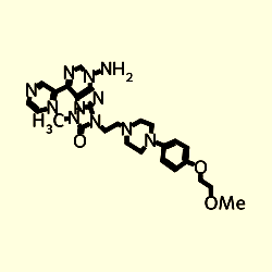 COCCOc1ccc(N2CCN(CCn3c(=O)n(C)n4c5c(nc34)N(N)CN=C5c3cnccn3)CC2)cc1